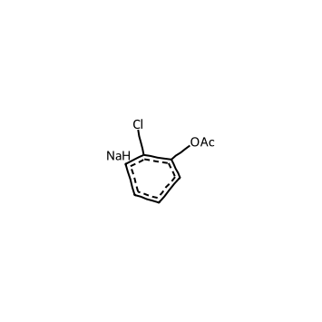 CC(=O)Oc1ccccc1Cl.[NaH]